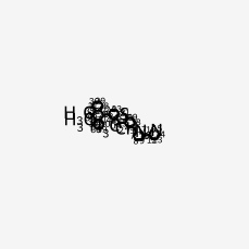 CC1(C)c2cc(-c3cccc(-c4cccnc4)n3)ccc2Sc2ccc(C3c4ccccc4C(C)(C)c4ccccc43)cc21